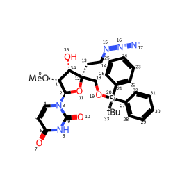 CO[C@H]1[C@H](n2ccc(=O)[nH]c2=O)O[C@](CCN=[N+]=[N-])(CO[Si](c2ccccc2)(c2ccccc2)C(C)(C)C)[C@H]1O